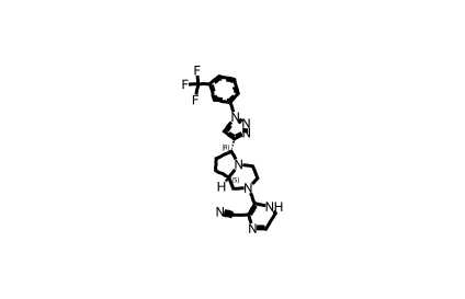 N#CC1=C(N2CCN3[C@@H](CC[C@@H]3c3cn(-c4cccc(C(F)(F)F)c4)nn3)C2)NCC=N1